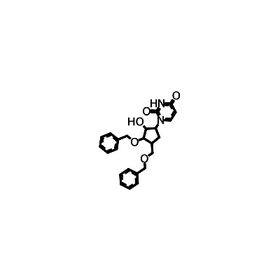 O=c1ccn(C2CC(COCc3ccccc3)C(OCc3ccccc3)C2O)c(=O)[nH]1